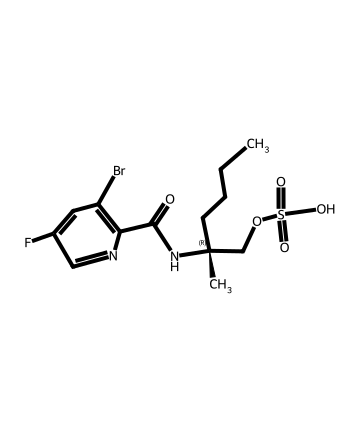 CCCC[C@](C)(COS(=O)(=O)O)NC(=O)c1ncc(F)cc1Br